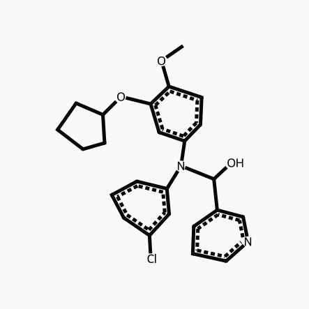 COc1ccc(N(c2cccc(Cl)c2)C(O)c2cccnc2)cc1OC1CCCC1